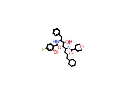 O=C(NC(Cc1ccccc1)[C@@H](O)CC(CCCC1CCCCC1)NC(=O)C1CCOCC1)c1ccc(F)cc1O